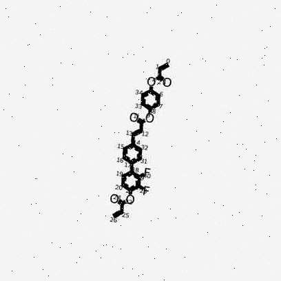 C=CC(=O)Oc1ccc(OC(=O)/C=C/c2ccc(-c3ccc(OC(=O)C=C)c(F)c3F)cc2)cc1